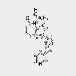 CC(C)N1C(=O)CCCc2cc(-c3csc(Cc4cccnc4)n3)ccc21